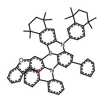 CC1(C)CCC(C)(C)c2cc(N3c4cc5c(cc4B4c6cc7oc8ccccc8c7cc6N(c6ccccc6-c6ccccc6)c6cc(-c7ccccc7)cc3c64)C(C)(C)CCC5(C)C)ccc21